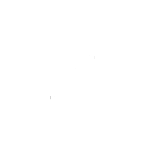 CC(O)COCCCCO